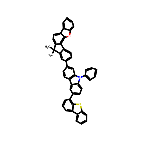 CC1(C)c2cc(-c3ccc4c5cc(-c6cccc7c6sc6ccccc67)ccc5n(-c5ccccc5)c4c3)ccc2-c2c1ccc1c2oc2ccccc21